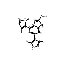 COc1nc2c(-c3c(C)cnn3C)cc(-c3c(C)noc3C)cc2[nH]1